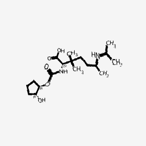 CC(C)NC(C)CCC(C)(C)[C@H](NC(=O)O[C@@H]1CCC[C@H]1O)C(=O)O